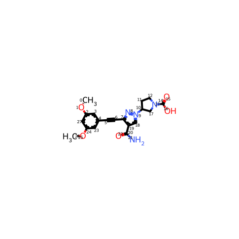 COc1cc(C#Cc2nn(C3CCN(C(=O)O)C3)cc2C(N)=O)cc(OC)c1